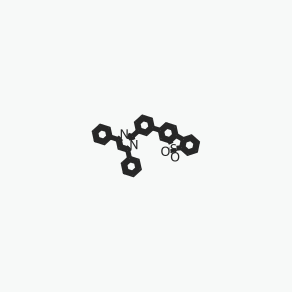 O=S1(=O)c2ccccc2-c2ccc(-c3cccc(-c4nc(-c5ccccc5)cc(-c5ccccc5)n4)c3)cc21